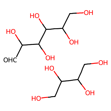 O=CC(O)C(O)C(O)C(O)CO.OCC(O)C(O)CO